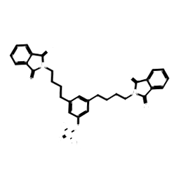 O=C1c2ccccc2C(=O)N1CCCCc1cc(CCCCN2C(=O)c3ccccc3C2=O)cc(OS(=O)(=O)C(F)(F)F)c1